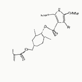 C=C(C)C(=O)OCC1CC(C)C(OC(=O)c2c(NC(C)=O)[nH]c(OC)c2C(C)C)C(C)C1